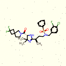 C=C(CCN(Cc1ccc(Cl)c(F)c1)S(=O)(=O)c1ccccc1)C1=NC(C)(C)[C@H](C(=O)N2CCC3(C2)CC(F)(F)C3)N1